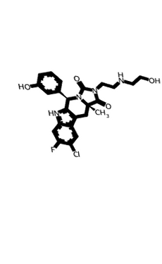 C[C@@]12Cc3c([nH]c4cc(F)c(Cl)cc34)[C@@H](c3cccc(O)c3)N1C(=O)N(CCNCCO)C2=O